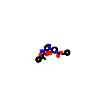 Cc1c(C(=O)NC(CC(C)C)C(=O)NC2CCCN(C(=O)OCc3ccccc3)CC2O)oc2ccccc12